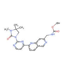 CN1C(=O)N(c2nccc(-c3ccc4cnc(CNC(=O)OC(C)(C)C)cc4n3)n2)CC1(C)C